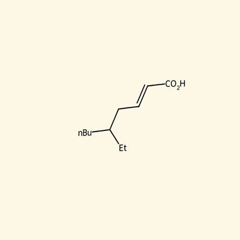 CCCCC(CC)CC=CC(=O)O